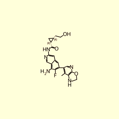 Cc1c(-c2cc3cc(NC(=O)[C@@H]4C[C@@H]4CCO)ncc3c(N)c2F)cnc2c1NCCO2